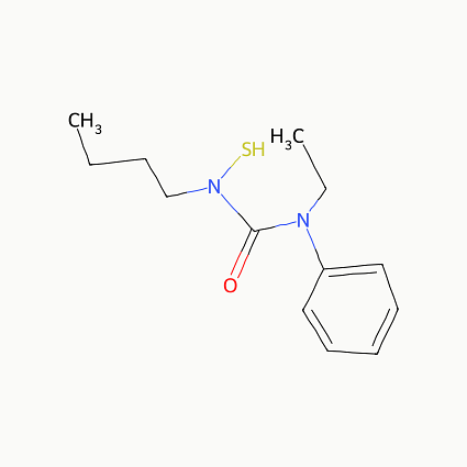 CCCCN(S)C(=O)N(CC)c1ccccc1